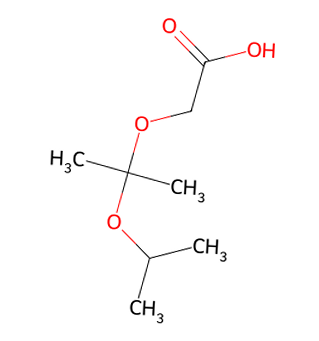 CC(C)OC(C)(C)OCC(=O)O